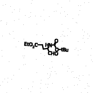 CCOC(=O)CCC(C=O)NC(=O)OC(C)(C)C